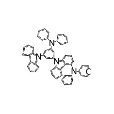 c1ccc(N(c2ccccc2)c2cc(-n3c4ccccc4c4ccccc43)cc(-n3c4ccccc4c4c(N(c5ccccc5)c5ccccc5)cccc43)c2)cc1